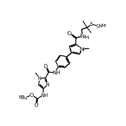 CSSC(C)(C)CNC(=O)c1cc(-c2ccc(NC(=O)c3nc(NC(=O)OC(C)(C)C)cn3C)cc2)cn1C